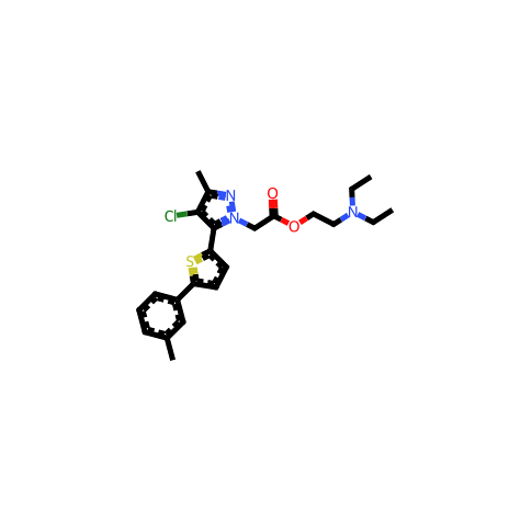 CCN(CC)CCOC(=O)Cn1nc(C)c(Cl)c1-c1ccc(-c2cccc(C)c2)s1